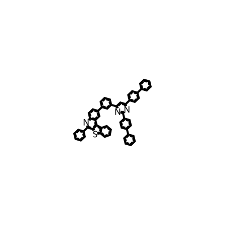 c1ccc(-c2ccc(-c3cc(-c4cccc(-c5ccc6nc(-c7ccccc7)c7sc8ccccc8c7c6c5)c4)nc(-c4ccc(-c5ccccc5)cc4)n3)cc2)cc1